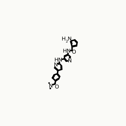 CN(C)C(=O)c1ccc(-c2ccc(Nc3cncc(NC(=O)c4cccc(N)c4)c3)nc2)cc1